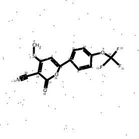 CSc1cc(-c2ccc(OC(F)(F)F)cc2)oc(=O)c1C#N